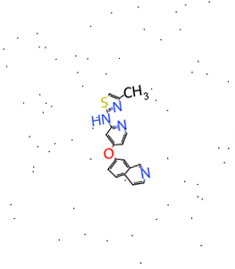 Cc1csc(Nc2cc(Oc3ccc4ccncc4c3)ccn2)n1